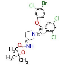 CC(C)(C)OC(=O)N[C@@H]1CCCN([C@H]2Cc3c(Cl)cc(Cl)cc3[C@@H]2Oc2ccc(Br)c(Cl)c2)C1